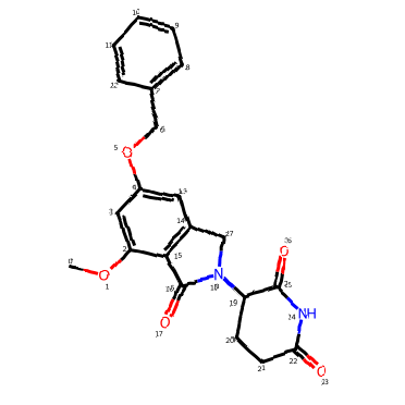 COc1cc(OCc2ccccc2)cc2c1C(=O)N(C1CCC(=O)NC1=O)C2